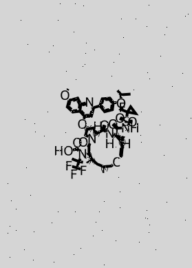 COc1ccc2c(O[C@@H]3C[C@H]4C(=O)N[C@]5(C(=O)NS(=O)(=O)C6(CF)CC6)C[C@H]5C=CCC[C@@H](C)C[C@@H](C)[C@H](N(C(=O)O)C(C)(C)C(F)(F)F)C(=O)N4C3)cc(-c3ccc(OC(C)C)cc3)nc2c1